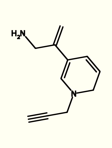 C#CCN1C=C(C(=C)CN)C=CC1